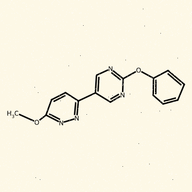 COc1ccc(-c2cnc(Oc3ccccc3)nc2)nn1